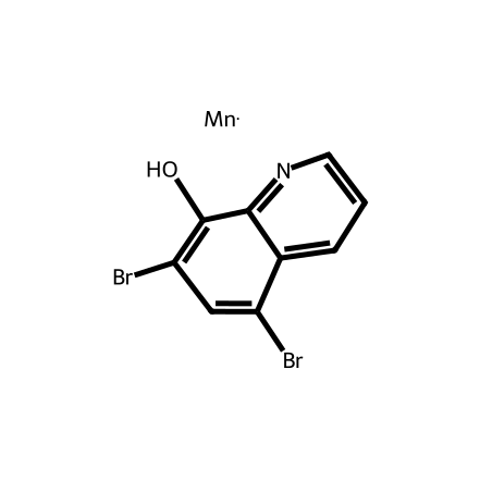 Oc1c(Br)cc(Br)c2cccnc12.[Mn]